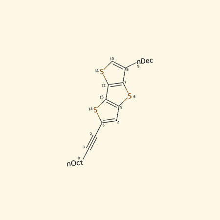 CCCCCCCCC#Cc1cc2sc3c(CCCCCCCCCC)csc3c2s1